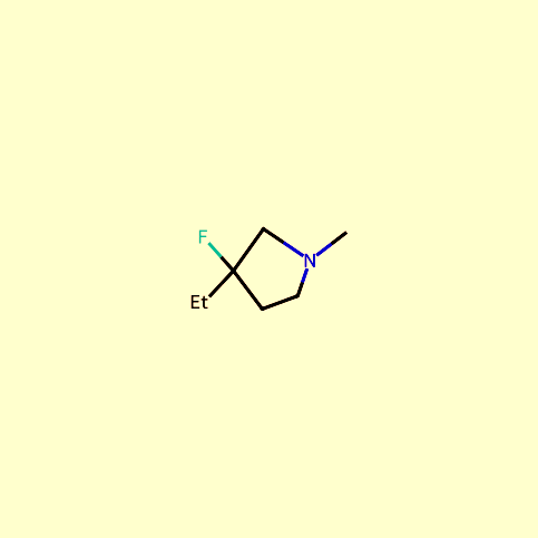 CCC1(F)CCN(C)C1